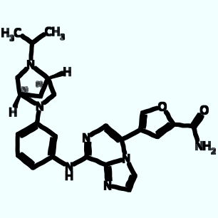 CC(C)N1C[C@@H]2C[C@H]1CN2c1cccc(Nc2ncc(-c3coc(C(N)=O)c3)n3ccnc23)c1